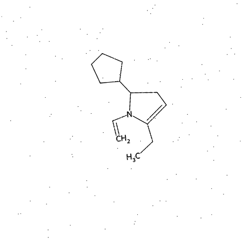 C=CN1C(CC)=CCC1C1CCCC1